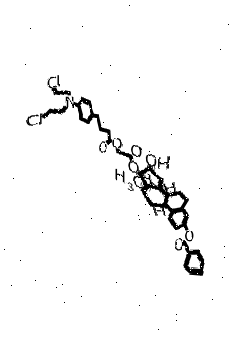 C[C@]12CC[C@@H]3c4ccc(OC(=O)c5ccccc5)cc4CC[C@H]3[C@@H]1C[C@@H](O)[C@@H]2OC(=O)COC(=O)CCCc1ccc(N(CCCl)CCCl)cc1